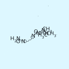 CN(C)CCN(C)CCCNC(=O)CCN1CCC(CCCC2CCN(CCC(N)=O)CC2)CC1